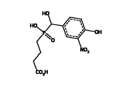 O=C(O)CCCP(=O)(O)C(O)c1ccc(O)c([N+](=O)[O-])c1